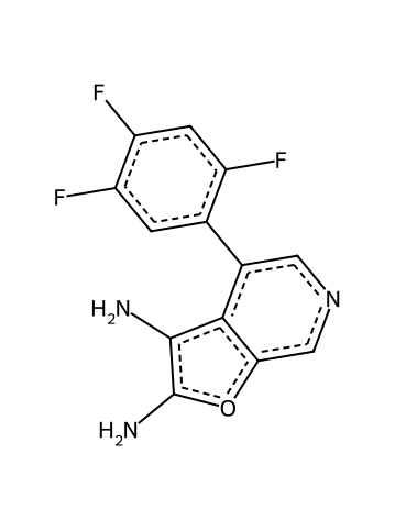 Nc1oc2cncc(-c3cc(F)c(F)cc3F)c2c1N